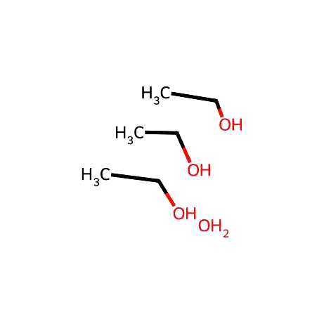 CCO.CCO.CCO.O